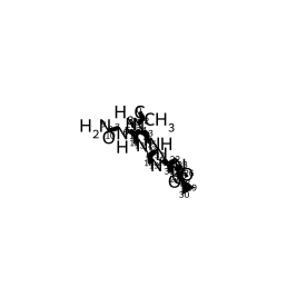 CC(C)n1nc(NCC(N)=O)c2cnc(Nc3ccnc(-c4cnn(S(=O)(=O)C5CC5)c4)n3)cc21